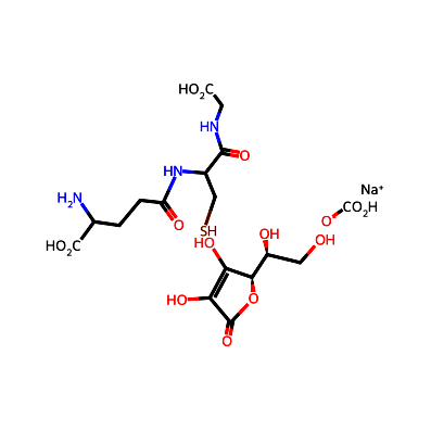 NC(CCC(=O)NC(CS)C(=O)NCC(=O)O)C(=O)O.O=C([O-])O.O=C1O[C@H]([C@@H](O)CO)C(O)=C1O.[Na+]